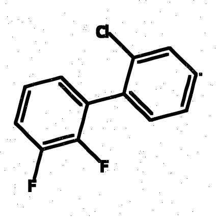 Fc1cccc(-c2cc[c]cc2Cl)c1F